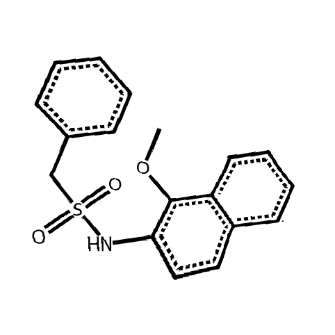 COc1c(NS(=O)(=O)Cc2ccccc2)ccc2[c]cccc12